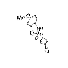 COc1ccc(NP(=O)(Cl)Oc2ccc(Cl)cc2)cc1